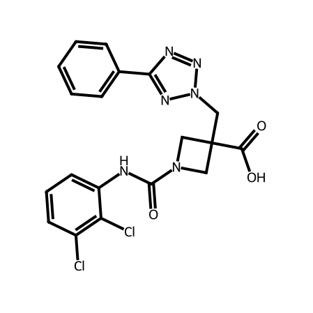 O=C(Nc1cccc(Cl)c1Cl)N1CC(Cn2nnc(-c3ccccc3)n2)(C(=O)O)C1